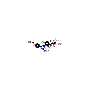 COc1nc(-c2ccc(OCC(C)(C)C)cc2)nc(-c2cc(C(C)CC(=O)[C@@](C)(OC)C(F)(F)F)ccc2Cl)n1